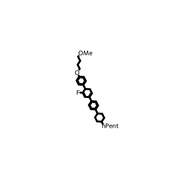 CCCCCC1CCC(c2ccc(C3=CCC(c4ccc(OCCCCOC)cc4)C(F)=C3)cc2)CC1